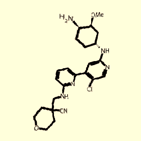 CO[C@H]1C[C@H](Nc2cc(-c3cccc(NCC4(C#N)CCOCC4)n3)c(Cl)cn2)CC[C@H]1N